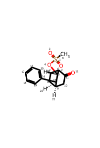 CS(=O)(=O)O[C@@H]1C2CC[C@H](CC2=O)[C@H]1c1ccccc1